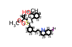 COC(=O)C1(CS[C@H](CCc2ccccc2C(C)(C)O)c2cccc(/C=C/c3ccc4ccc(I)cc4n3)c2)CC1